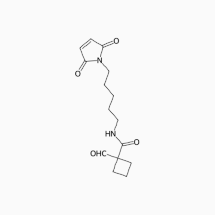 O=CC1(C(=O)NCCCCCN2C(=O)C=CC2=O)CCC1